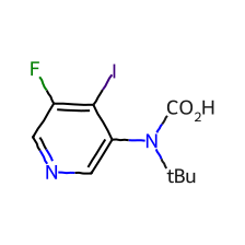 CC(C)(C)N(C(=O)O)c1cncc(F)c1I